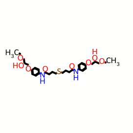 CCOCC(O)COc1ccc(NC(=O)CCCSCCCC(=O)Nc2ccc(OCC(O)COCC)cc2)cc1